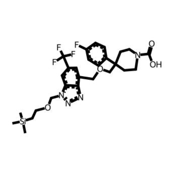 C[Si](C)(C)CCOCn1nnc2c(COCC3(c4ccc(F)cc4)CCN(C(=O)O)CC3)cc(C(F)(F)F)cc21